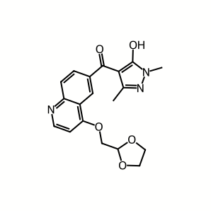 Cc1nn(C)c(O)c1C(=O)c1ccc2nccc(OCC3OCCO3)c2c1